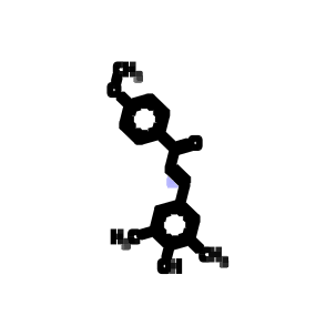 COc1ccc(C(=O)/C=C/c2cc(C)c(O)c(C)c2)cc1